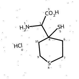 Cl.NC(C(=O)O)C1(S)CCSCC1